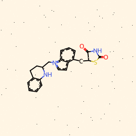 O=C1NC(=O)C(Cc2cccc3c2ccn3CC2CCc3ccccc3N2)S1